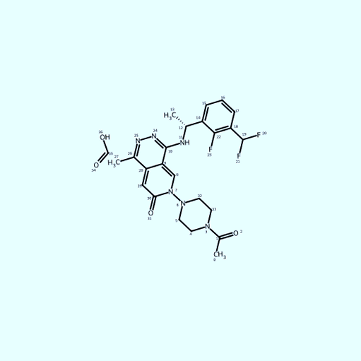 CC(=O)N1CCN(n2cc3c(N[C@H](C)c4cccc(C(F)F)c4F)nnc(C)c3cc2=O)CC1.O=CO